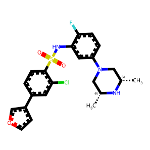 C[C@@H]1CN(c2ccc(F)c(NS(=O)(=O)c3ccc(-c4ccoc4)cc3Cl)c2)C[C@H](C)N1